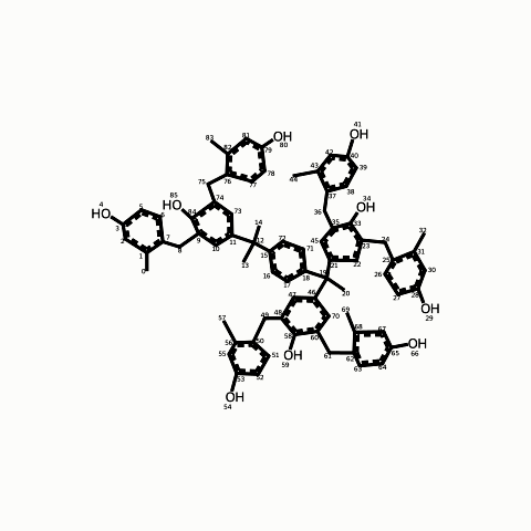 Cc1cc(O)ccc1Cc1cc(C(C)(C)c2ccc(C(C)(c3cc(Cc4ccc(O)cc4C)c(O)c(Cc4ccc(O)cc4C)c3)c3cc(Cc4ccc(O)cc4C)c(O)c(Cc4ccc(O)cc4C)c3)cc2)cc(Cc2ccc(O)cc2C)c1O